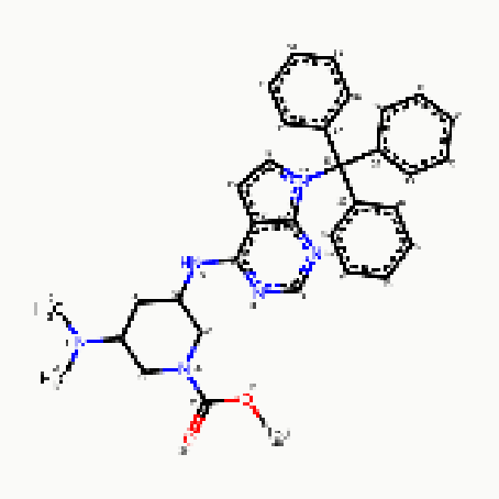 CN(C)C1CC(Nc2ncnc3c2ccn3C(c2ccccc2)(c2ccccc2)c2ccccc2)CN(C(=O)OC(C)(C)C)C1